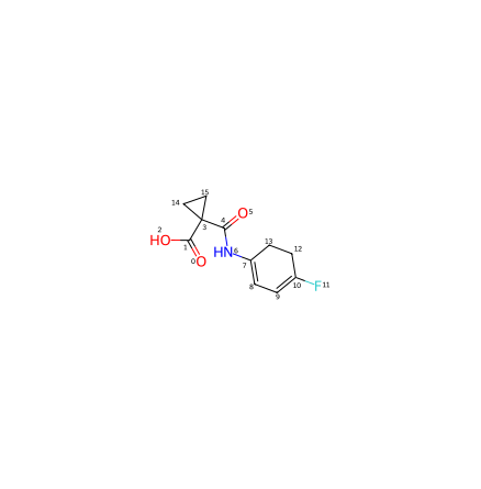 O=C(O)C1(C(=O)NC2=CC=C(F)CC2)CC1